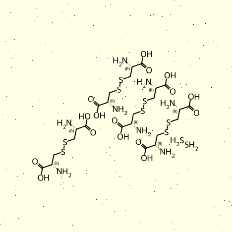 N[C@@H](CSSC[C@H](N)C(=O)O)C(=O)O.N[C@@H](CSSC[C@H](N)C(=O)O)C(=O)O.N[C@@H](CSSC[C@H](N)C(=O)O)C(=O)O.N[C@@H](CSSC[C@H](N)C(=O)O)C(=O)O.S.S